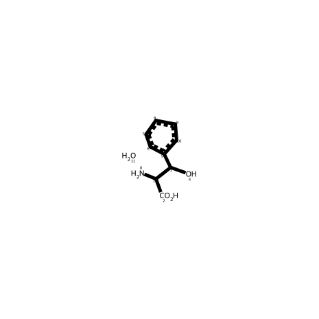 NC(C(=O)O)C(O)c1ccccc1.O